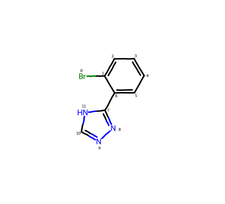 Brc1ccccc1-c1nnc[nH]1